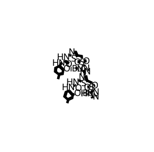 Cc1ccc(NC(=O)Nc2ncc(CS(=O)(=O)c3nnc[nH]3)s2)c(OCC(C)C)c1.Cc1ccc(NC(=O)Nc2ncc(CS(=O)(=O)c3nnnn3C)s2)c(OCC(C)C)c1